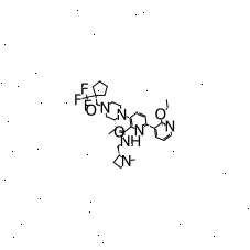 CCOc1ncccc1-c1ccc(N2CCN(C(=O)C3(C(F)(F)F)CCCC3)C[C@H]2CC)c(C(=O)NC[C@@H]2CCN2C)n1